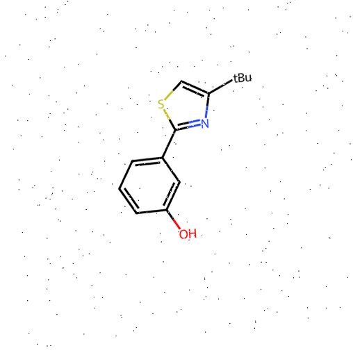 CC(C)(C)c1csc(-c2cccc(O)c2)n1